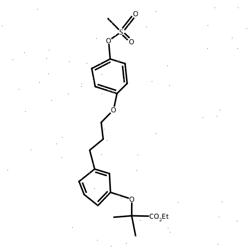 CCOC(=O)C(C)(C)Oc1cccc(CCCOc2ccc(OS(C)(=O)=O)cc2)c1